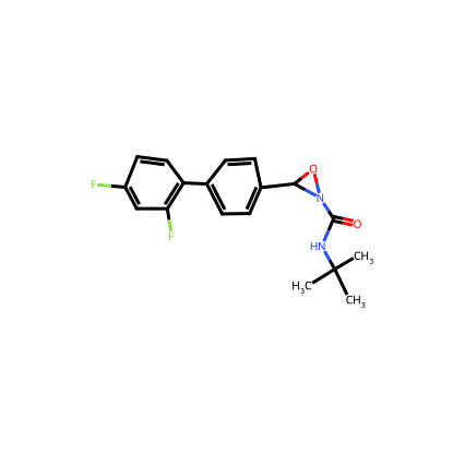 CC(C)(C)NC(=O)N1OC1c1ccc(-c2ccc(F)cc2F)cc1